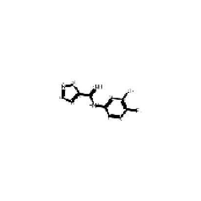 N=C(Nc1ccc(F)c(Cl)c1)c1ccno1